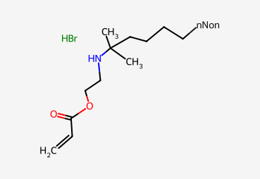 Br.C=CC(=O)OCCNC(C)(C)CCCCCCCCCCCCC